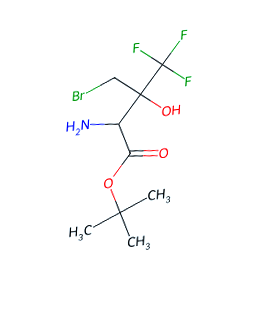 CC(C)(C)OC(=O)C(N)C(O)(CBr)C(F)(F)F